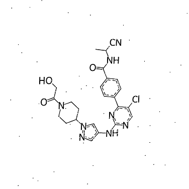 CC(C#N)NC(=O)c1ccc(-c2nc(Nc3cnn(C4CCN(C(=O)CO)CC4)c3)ncc2Cl)cc1